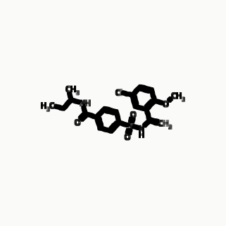 C=C(NS(=O)(=O)c1ccc(C(=O)NC(C)CC)cc1)c1cc(Cl)ccc1OC